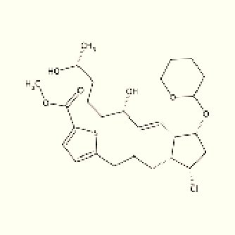 COC(=O)c1ccc(CCC[C@@H]2[C@H](C=C[C@@H](O)CCC[C@@H](C)O)[C@H](OC3CCCCO3)C[C@@H]2Cl)s1